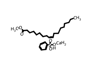 CCCCCCCC/C=C\CCCCCCCC(=O)OC.O=S(=O)(O)c1ccccc1.[CaH2]